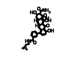 CN(C)CCNC(=O)c1cccc(-c2ccc(O)c3c2C[C@H]2C[C@H]4CC(O)C(C(N)=O)C(=O)[C@@]4(O)C(O)=C2C3=O)c1